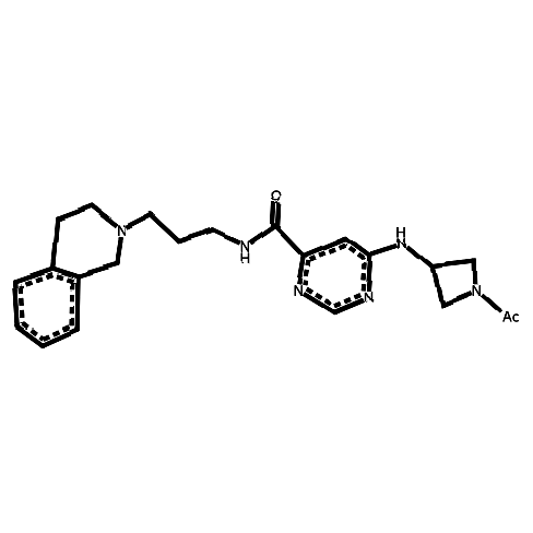 CC(=O)N1CC(Nc2cc(C(=O)NCCCN3CCc4ccccc4C3)ncn2)C1